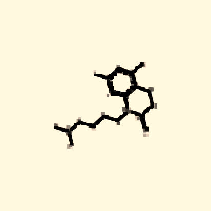 Cc1cc(C)c2c(n1)N(CCCCN(C)C)C(=O)CC2